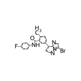 Cc1ccc(-c2ccnn3c(Br)cnc23)cc1C(=O)Nc1ccc(F)cc1